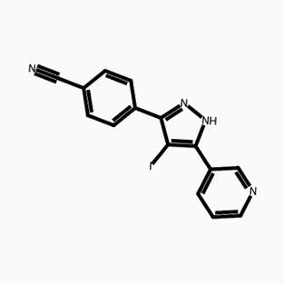 N#Cc1ccc(-c2n[nH]c(-c3cccnc3)c2I)cc1